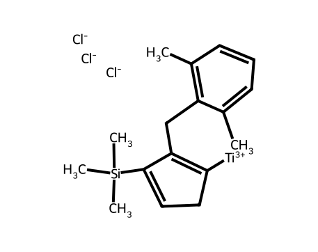 Cc1cccc(C)c1CC1=[C]([Ti+3])CC=C1[Si](C)(C)C.[Cl-].[Cl-].[Cl-]